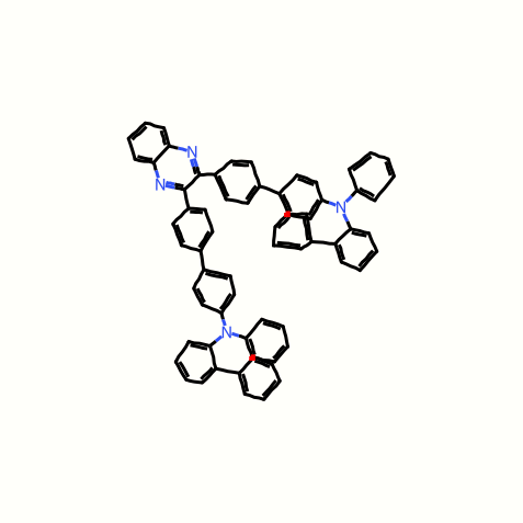 c1ccc(-c2ccccc2N(c2ccccc2)c2ccc(-c3ccc(-c4nc5ccccc5nc4-c4ccc(-c5ccc(N(c6ccccc6)c6ccccc6-c6ccccc6)cc5)cc4)cc3)cc2)cc1